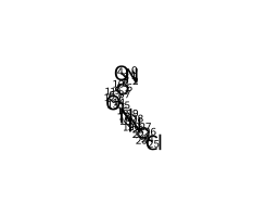 CN(C)C(=O)c1ccc2c(c1)CCOC2CCN1CCN(c2ccc(Cl)cc2)CC1